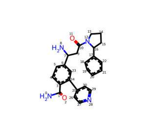 NC(=O)c1ccc(C(N)CC(=O)N2CCCC2c2ccccc2)cc1-c1ccncc1